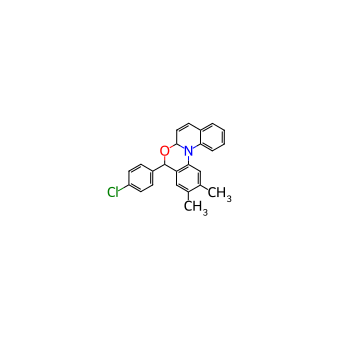 Cc1cc2c(cc1C)N1c3ccccc3C=CC1OC2c1ccc(Cl)cc1